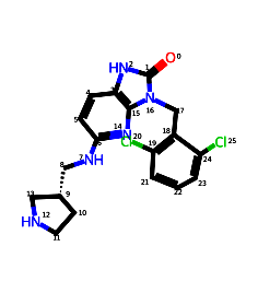 O=c1[nH]c2ccc(NC[C@@H]3CCNC3)nc2n1Cc1c(Cl)cccc1Cl